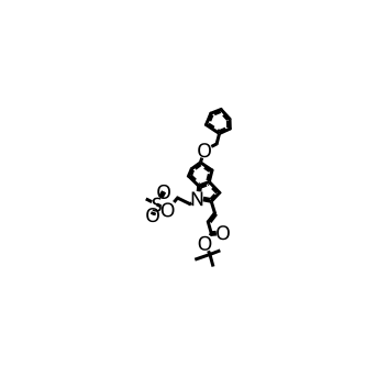 CC(C)(C)OC(=O)/C=C/c1cc2cc(OCc3ccccc3)ccc2n1CCOS(C)(=O)=O